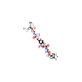 C=C(C)C(=O)OCCNC(=O)OCc1ccc(COC(=O)NCCOC(=O)C(=C)C)c([N+](=O)[O-])c1